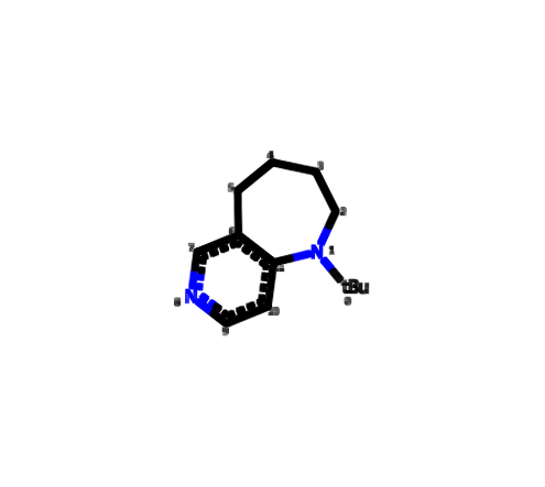 CC(C)(C)N1CCCCc2cnccc21